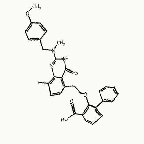 COc1ccc(CN(C)c2nc3c(F)ccc(CCOc4c(C(=O)O)cccc4-c4ccccc4)c3c(=O)[nH]2)cc1